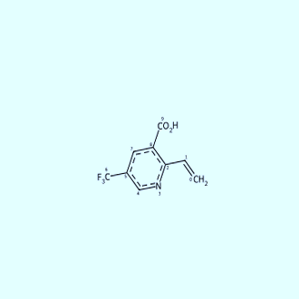 C=Cc1ncc(C(F)(F)F)cc1C(=O)O